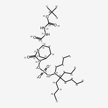 CCCCN(OS(=O)(=O)ON1C(=O)N2CC1CC[C@H]2C(=O)NNC(=O)OC(C)(C)C)C(CCC)(CCCC)CCCC